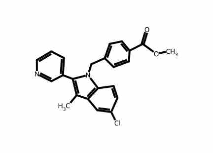 COC(=O)c1ccc(Cn2c(-c3cccnc3)c(C)c3cc(Cl)ccc32)cc1